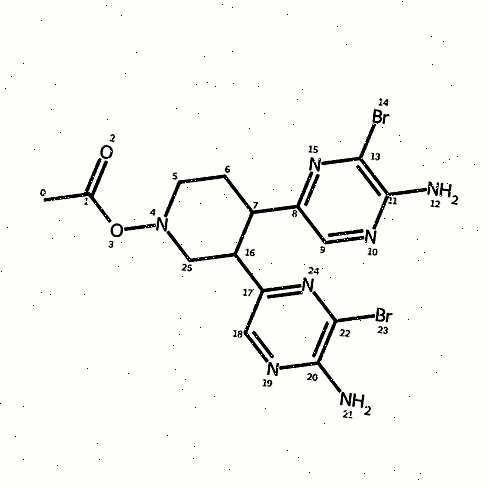 CC(=O)ON1CCC(c2cnc(N)c(Br)n2)C(c2cnc(N)c(Br)n2)C1